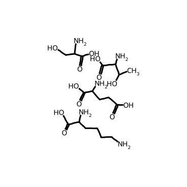 CC(O)C(N)C(=O)O.NC(CCC(=O)O)C(=O)O.NC(CO)C(=O)O.NCCCCC(N)C(=O)O